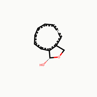 O[C@H]1OCc2ccccccccc21